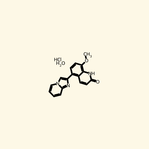 COc1ccc(-c2cn3ccccc3n2)c2ccc(=O)[nH]c12.Cl.O